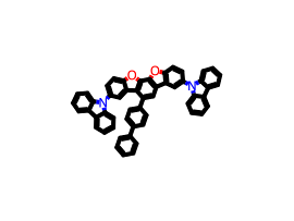 c1ccc(-c2ccc(-c3cc4c5cc(-n6c7ccccc7c7ccccc76)ccc5oc4c4oc5ccc(-n6c7ccccc7c7ccccc76)cc5c34)cc2)cc1